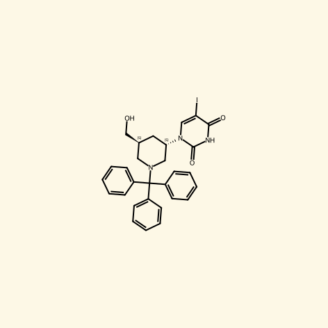 O=c1[nH]c(=O)n([C@H]2C[C@H](CO)CN(C(c3ccccc3)(c3ccccc3)c3ccccc3)C2)cc1I